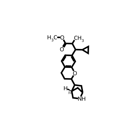 COC(=O)C(C)C(c1ccc2c(c1)OC(C1CC3C[C@@H]1CN3)CC2)C1CC1